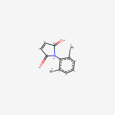 CC(C)c1cccc(C(C)C)c1N1C(=O)C=CC1=O